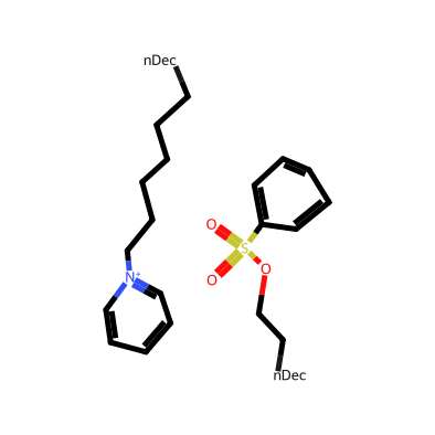 CCCCCCCCCCCCCCCC[n+]1ccccc1.CCCCCCCCCCCCOS(=O)(=O)c1ccccc1